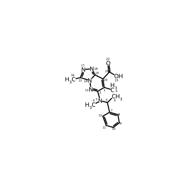 Cc1c(N(C)C(C)c2ccccc2)nn2c(C)nnc2c1C(=O)O